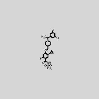 CC(c1cc(Cl)cc(Cl)c1)N1CCC(COc2cc(F)c(C(=O)NS(C)(=O)=O)cc2C2CC2)CC1